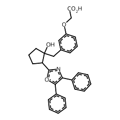 O=C(O)COc1cccc(CC2(O)CCCC2c2nc(-c3ccccc3)c(-c3ccccc3)o2)c1